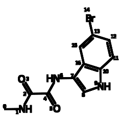 CNC(=O)C(=O)Nc1c[nH]c2ccc(Br)cc12